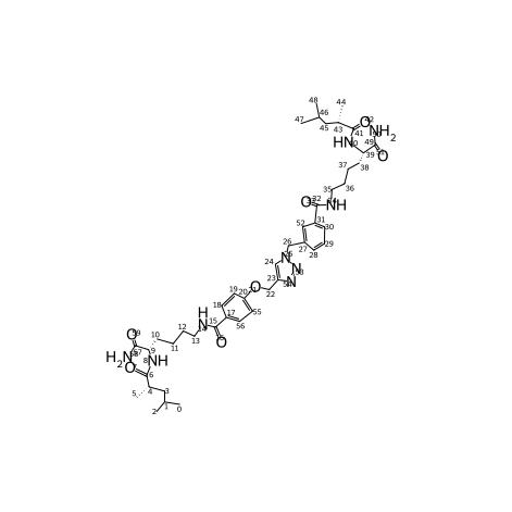 CC(C)C[C@H](C)C(=O)N[C@@H](CCCCNC(=O)c1ccc(OCc2cn(Cc3cccc(C(=O)NCCCC[C@H](NC(=O)[C@@H](C)CC(C)C)C(N)=O)c3)nn2)cc1)C(N)=O